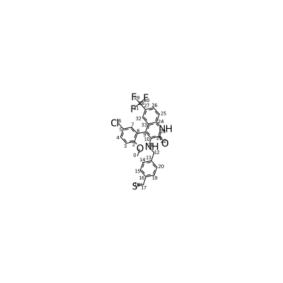 COc1ccc(Cl)cc1-c1c(NCc2ccc(C=S)cc2)c(=O)[nH]c2ccc(C(F)(F)F)cc12